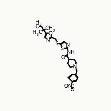 CCC(C)(C)c1cnc(CSc2cnc(NC(=O)C3CCN(Cc4ccc([N+](=O)[O-])cc4)CC3)s2)o1